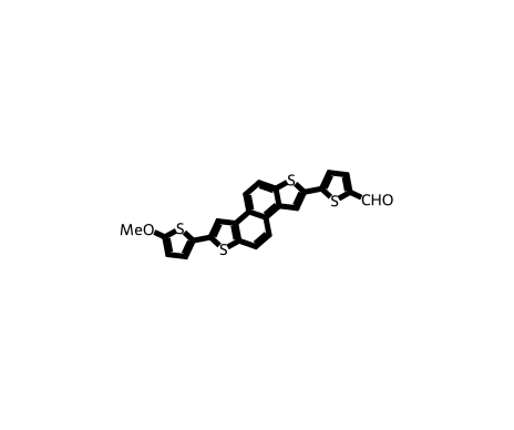 COc1ccc(-c2cc3c(ccc4c5cc(-c6ccc(C=O)s6)sc5ccc34)s2)s1